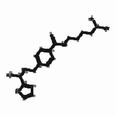 CCCN(CCC)CCCCNC(=O)c1ccc(CNC(C)c2ncc[nH]2)cc1